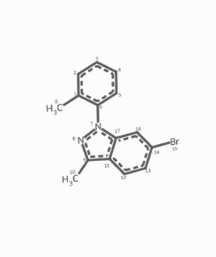 Cc1ccccc1-n1nc(C)c2ccc(Br)cc21